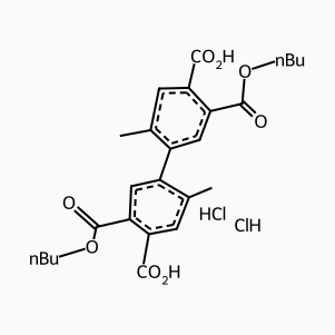 CCCCOC(=O)c1cc(-c2cc(C(=O)OCCCC)c(C(=O)O)cc2C)c(C)cc1C(=O)O.Cl.Cl